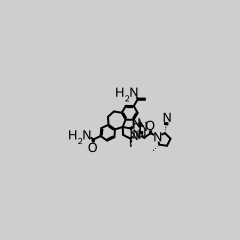 C=C(N)c1ccc2c(c1)CCc1cc(C(N)=O)ccc1C2(C[C@H](C)NCC(=O)N1[C@H](C#N)CC[C@@H]1C)c1nnnn1C